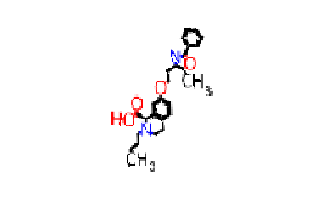 CCCCN1CCc2ccc(OCCc3nc(-c4ccccc4)oc3C)cc2C1C(=O)O